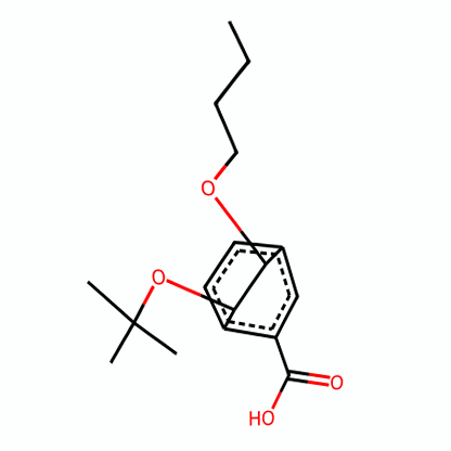 CCCCOC1c2ccc(c(C(=O)O)c2)C1OC(C)(C)C